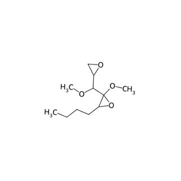 CCCCC1OC1(OC)C(OC)C1CO1